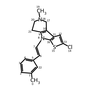 Cc1cccc(/C=C/n2c3c(c4cc(Cl)sc42)CN(C)CC3)c1